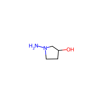 NN1CCC(O)C1